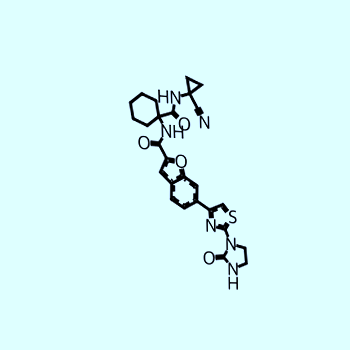 N#CC1(NC(=O)C2(NC(=O)c3cc4ccc(-c5csc(N6CCNC6=O)n5)cc4o3)CCCCC2)CC1